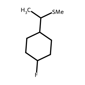 CSC(C)C1CCC(F)CC1